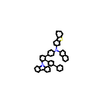 c1ccc(-c2ccc(-c3c(-c4ccc(N(c5ccc6ccccc6c5)c5ccc6c(c5)sc5ccccc56)cc4)cccc3-n3c4ccccc4c4ccccc43)cc2)cc1